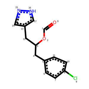 O=COC(Cc1ccc(Cl)cc1)Cc1cn[nH]c1